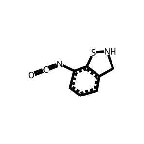 O=C=Nc1cccc2c1SNC2